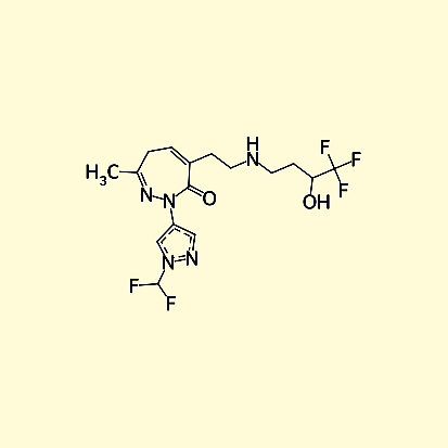 CC1=NN(c2cnn(C(F)F)c2)C(=O)C(CCNCCC(O)C(F)(F)F)=CC1